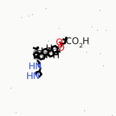 C=C(C)[C@@H]1CC[C@]2(CCNCC3CCNC3)CC[C@]3(C)[C@H](CC[C@@H]4[C@@]5(C)CC[C@H](OC(=O)CC(C)(C)C(=O)O)C(C)(C)[C@@H]5CC[C@]43C)[C@@H]12